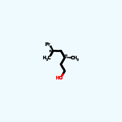 CC(C)[C@H](C)C[C@H](C)CCO